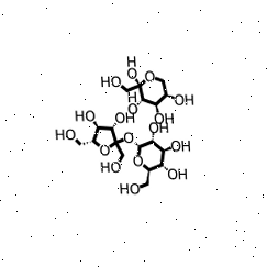 OC[C@H]1OC(CO)(O[C@H]2O[C@H](CO)[C@@H](O)[C@H](O)[C@H]2O)[C@@H](O)[C@@H]1O.OC[C@]1(O)OC[C@@H](O)[C@@H](O)[C@@H]1O